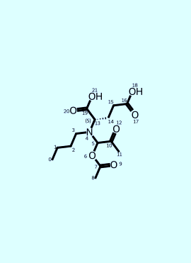 CCCCN(C(OC(C)=O)C(C)=O)[C@@H](CCC(=O)O)C(=O)O